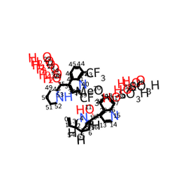 C=C[C@H]1C[N@]2CC[C@H]1C[C@H]2[C@H](O)c1ccnc2ccc(OC)cc12.O.O.O.O.O.O.O.O=S(=O)(O)O.O=S(=O)(O)O.O[C@@H](c1cc(C(F)(F)F)nc2c(C(F)(F)F)cccc12)[C@H]1CCCCN1